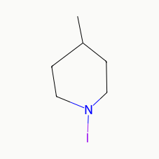 CC1CCN(I)CC1